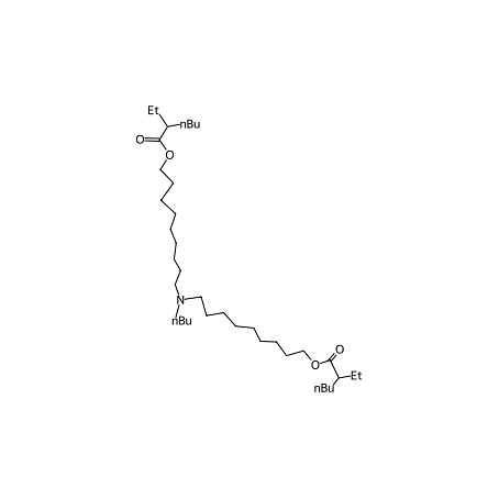 CCCCC(CC)C(=O)OCCCCCCCCCN(CCCC)CCCCCCCCCOC(=O)C(CC)CCCC